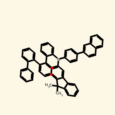 CC1(C)c2ccccc2-c2cc(N(c3ccc(-c4ccc5ccccc5c4)cc3)c3ccccc3-c3ccccc3-c3ccccc3-c3ccccc3)ccc21